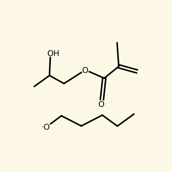 C=C(C)C(=O)OCC(C)O.CCCCC[O]